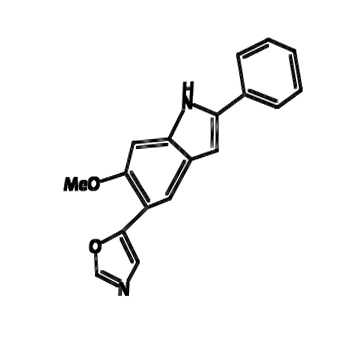 COc1cc2[nH]c(-c3ccccc3)cc2cc1-c1cnco1